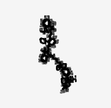 CC[N+]1=C(/C=C/C2=C(Cl)C(=C/C=C3/N(CCCCCC(=O)Oc4ccc(NC(=O)OC(C)(C)C)cc4)c4ccccc4C3(C)C)/CCC2)C(C)(C)c2ccccc21